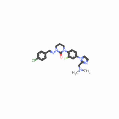 CN(C)Cc1nccn1-c1ccc(N2CCCN(N=Cc3ccc(Cl)cc3)C2=O)c(F)c1